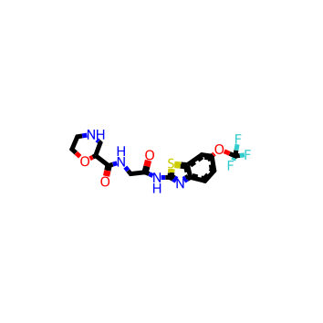 O=C(CNC(=O)C1CNCCO1)Nc1nc2ccc(OC(F)(F)F)cc2s1